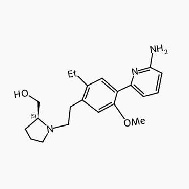 CCc1cc(-c2cccc(N)n2)c(OC)cc1CCN1CCC[C@H]1CO